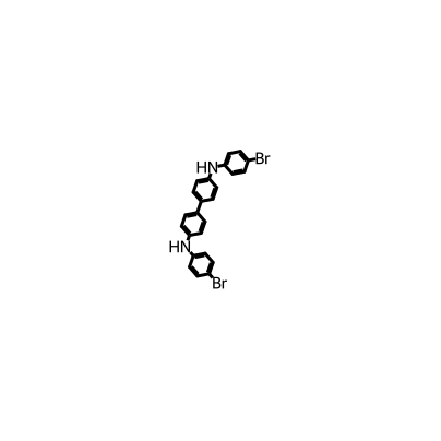 Brc1ccc(Nc2ccc(-c3ccc(Nc4ccc(Br)cc4)cc3)cc2)cc1